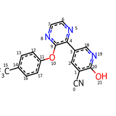 N#Cc1cc(-c2nccnc2Oc2ccc(C(F)(F)F)cc2)cnc1O